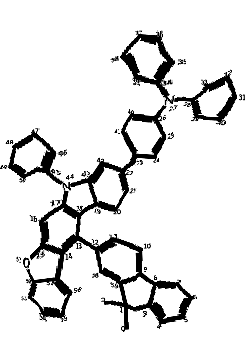 CC1(C)c2ccccc2-c2ccc(-c3c4c(cc5c3c3ccc(-c6ccc(N(c7ccccc7)c7ccccc7)cc6)cc3n5-c3ccccc3)oc3ccccc34)cc21